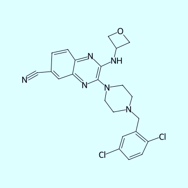 N#Cc1ccc2nc(NC3COC3)c(N3CCN(Cc4cc(Cl)ccc4Cl)CC3)nc2c1